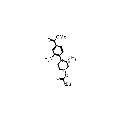 COC(=O)c1ccc(N2CCN(OC(=O)C(C)(C)C)C[C@H]2C)c(N)c1